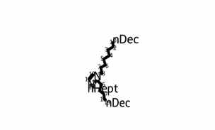 CCCCCCCCCCCCCCCCCCN1C=CN(CCCCCCC)C1CCCCCCCCCCCCCC